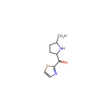 O=C(O)C1CCC(C(=O)c2nccs2)N1